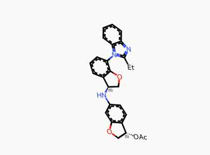 CCc1nc2ccccc2n1-c1cccc2c1OC[C@H]2Nc1ccc2c(c1)OC[C@H]2OC(C)=O